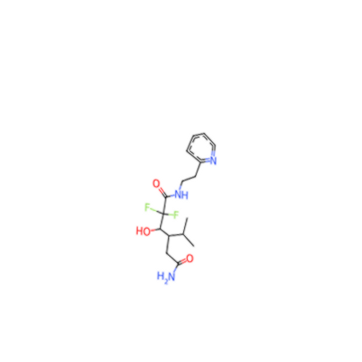 CC(C)C(CC(N)=O)C(O)C(F)(F)C(=O)NCCc1ccccn1